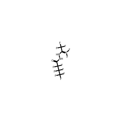 O=C(NNC(=S(F)F)C(F)(F)F)C(F)(F)C(F)(F)C(F)(F)F